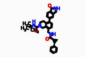 CC(C)(C)NC(=O)N1CCc2c(-c3ccc4c(c3)CNC4=O)ccc(CNC(=O)C3C[C@H]3c3ccccc3)c2C1